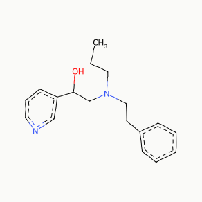 CCCN(CCc1ccccc1)CC(O)c1cccnc1